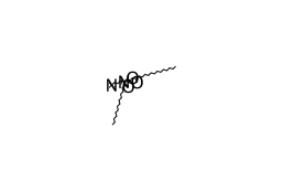 CCCCCCCCCCCCCC(=O)OCCN(CCC[N+](C)(C)C)C(=O)CCCCCCCCCCCCC